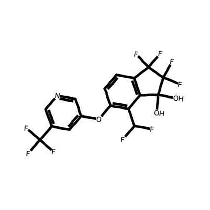 OC1(O)c2c(ccc(Oc3cncc(C(F)(F)F)c3)c2C(F)F)C(F)(F)C1(F)F